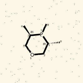 C[C@@H]1COC[C@@H](C)P1C